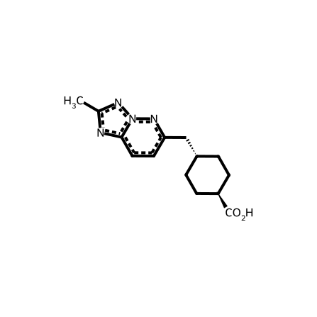 Cc1nc2ccc(C[C@H]3CC[C@H](C(=O)O)CC3)nn2n1